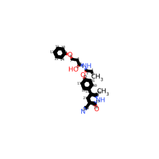 CCC(NC(O)CCOc1ccccc1)Oc1ccc(-c2cc(C#N)c(=O)[nH]c2C)cc1